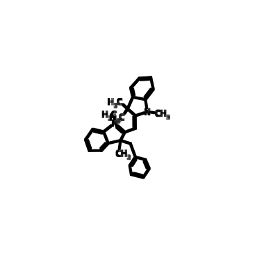 CN1C(=CC2=[N+](C)c3ccccc3C2(C)Cc2ccccc2)C(C)(C)c2ccccc21